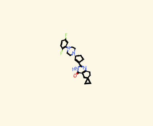 O=c1[nH]c(C2=C[C@H](N3CCN(c4cc(F)ccc4F)CC3)CC2)nc2c1CC1(CC2)CC1